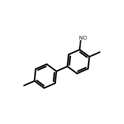 Cc1ccc(-c2ccc(C)c(N=O)c2)cc1